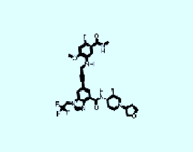 CNC(=O)c1cc(NCC#Cc2cc(C(=O)N[C@H]3CCN(C4CCOC4)C[C@@H]3C)c3ncn(CC(F)(F)F)c3c2)c(OC)cc1F